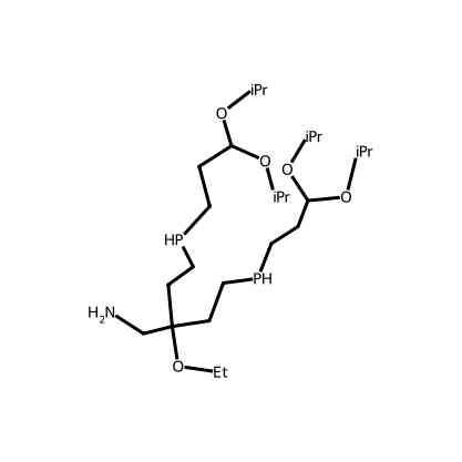 CCOC(CN)(CCPCCC(OC(C)C)OC(C)C)CCPCCC(OC(C)C)OC(C)C